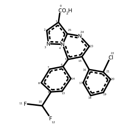 O=C(O)c1cnn2c(-c3ccc(C(F)F)cc3)c(-c3ccccc3Cl)cnc12